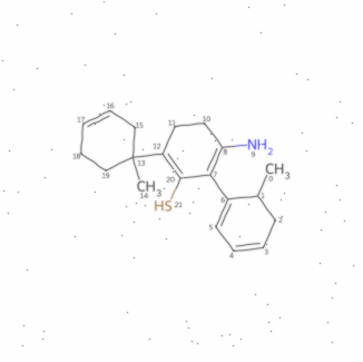 CC1CC=CC=C1C1=C(N)CCC(C2(C)CC=CCC2)=C1S